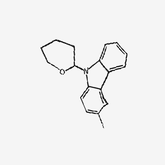 Ic1ccc2c(c1)c1ccccc1n2C1CCCCO1